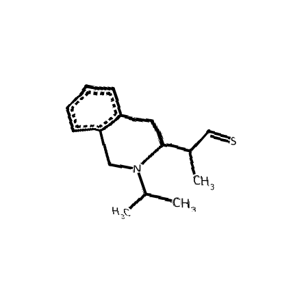 CC(C=S)C1Cc2ccccc2CN1C(C)C